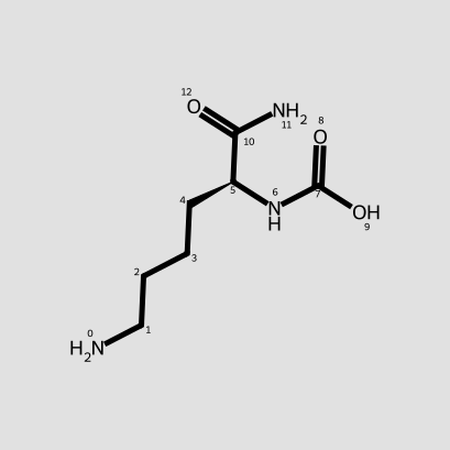 NCCCC[C@H](NC(=O)O)C(N)=O